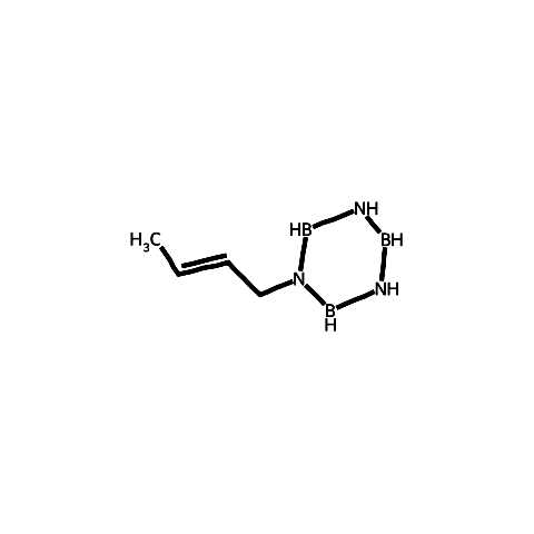 CC=CCN1BNBNB1